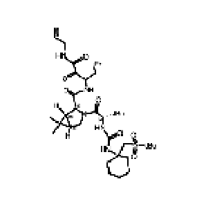 C=CCNC(=O)C(=O)C(CC(C)C)NC(=O)[C@@H]1[C@@H]2[C@H](CN1C(=O)[C@@H](NC(=O)NC1(CS(=O)(=O)C(C)(C)C)CCCCC1)C(C)(C)C)C2(C)C